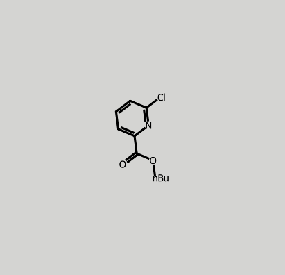 CCCCOC(=O)c1cccc(Cl)n1